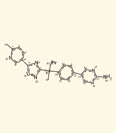 Cc1ccc(-c2nc(C(C)(c3ccc(-c4cnc(N)nc4)cc3)C(C)C)no2)cn1